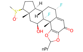 CCCC1OC2=C(O1)[C@@]1(C)C(=CC2=O)[C@@H](F)C[C@H]2[C@@H]3CC[C@H]([S+](C)[O-])[C@@]3(C)C[C@H](O)[C@@]21F